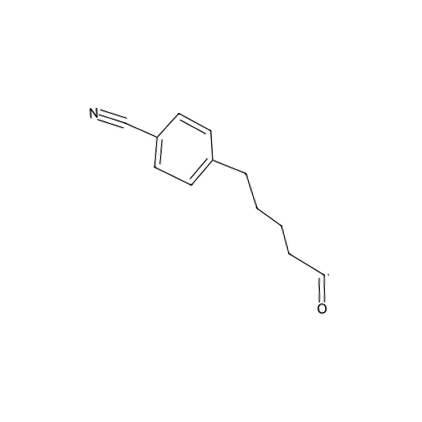 N#Cc1ccc(CCCC[C]=O)cc1